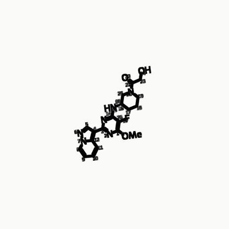 COc1nc(-c2cnn3ccccc23)nc(N[C@@H]2CCCN(C(=O)CO)C2)c1F